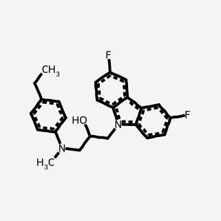 CCc1ccc(N(C)CC(O)Cn2c3ccc(F)cc3c3cc(F)ccc32)cc1